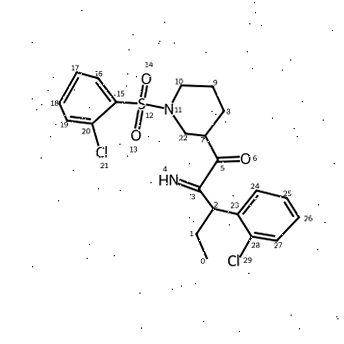 CCC(C(=N)C(=O)C1CCCN(S(=O)(=O)c2ccccc2Cl)C1)c1ccccc1Cl